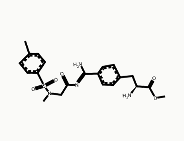 COC(=O)[C@@H](N)Cc1ccc(C(N)=NC(=O)CN(C)S(=O)(=O)c2ccc(C)cc2)cc1